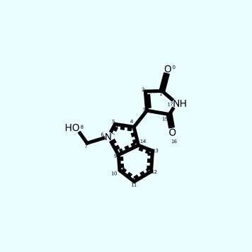 O=C1C=C(c2cn(CO)c3ccccc23)C(=O)N1